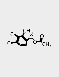 CC(=O)OOc1ccc(Cl)c(Cl)c1C